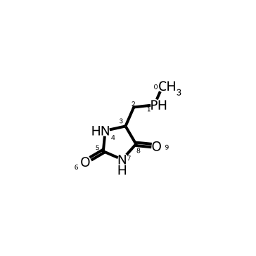 CPCC1NC(=O)NC1=O